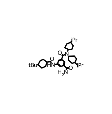 CC(C)C1CCC(N(C(=O)c2cc(NC(=O)C3CCC(C(C)(C)C)CC3)cc(C(N)=O)c2)C2CCC(C(C)C)CC2)CC1